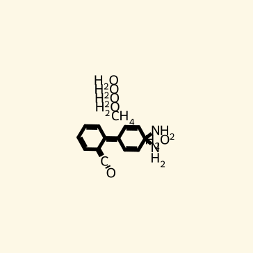 C.NC1(N)C=CC(=c2ccccc2=C=O)C=C1.O.O.O.O.O